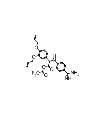 C=CCOc1ccc(C(Nc2ccc(C(=N)N)cc2)C(=O)OC(=O)C(F)(F)F)cc1OCC=C